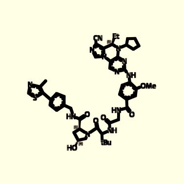 CC[C@@H]1c2c(C#N)ncn2-c2cnc(Nc3ccc(C(=O)NCC(=O)NC(C(=O)N4C[C@H](O)C[C@H]4C(=O)NCc4ccc(-c5scnc5C)cc4)C(C)(C)C)cc3OC)nc2N1C1CCCC1